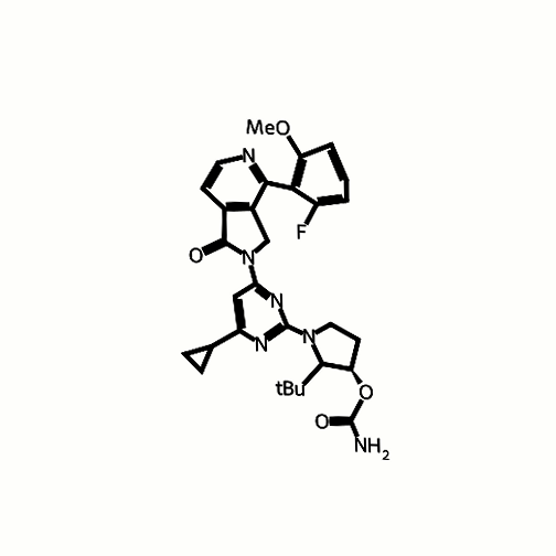 COc1cccc(F)c1-c1nccc2c1CN(c1cc(C3CC3)nc(N3CC[C@@H](OC(N)=O)C3C(C)(C)C)n1)C2=O